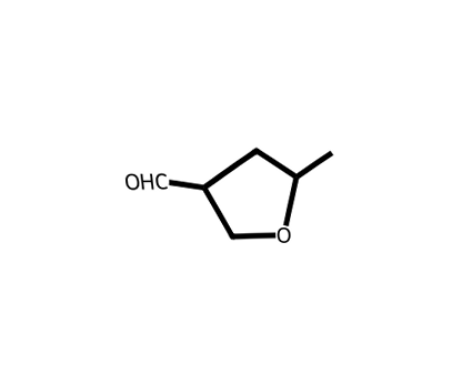 CC1CC(C=O)CO1